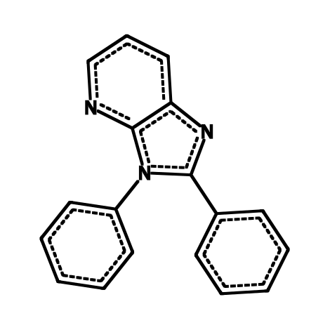 c1ccc(-c2nc3cccnc3n2-c2ccccc2)cc1